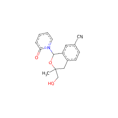 CC1(CO)Cc2ccc(C#N)cc2C(n2ccccc2=O)O1